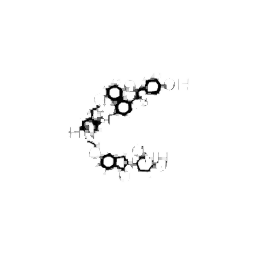 O=C1CC[C@@H](N2Cc3cc(OCCN4C[C@H]5CC[C@@H]4CN5CCOc4ccc(Oc5c(-c6ccc(Br)cc6)sc6cc(O)ccc56)cc4)ccc3C2=O)C(=O)N1